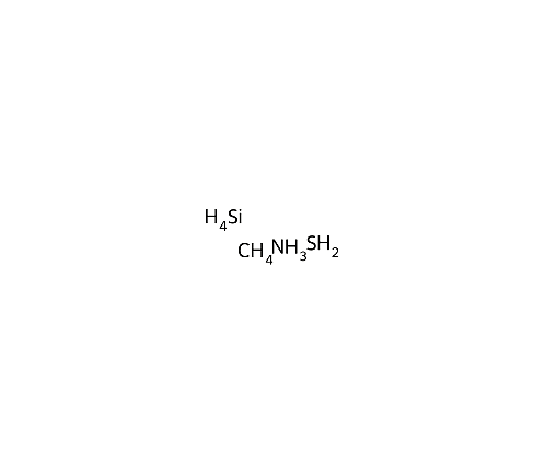 C.N.S.[SiH4]